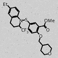 CCc1ccc2c(c1)CCC(C(F)(F)F)N2Sc1ccc(OCC2CCOCC2)c(C(=O)OC)c1